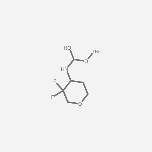 CC(C)(C)OC(O)NC1CCOCC1(F)F